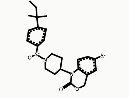 CCC(C)(C)c1ccc([S+]([O-])N2CCC(N3C(=O)OCc4cc(Br)ccc43)CC2)cc1